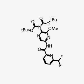 COc1nc(NC(=O)c2cccc(C(F)F)n2)cnc1N(C(=O)OC(C)(C)C)C(=O)OC(C)(C)C